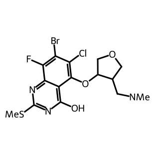 CNCC1COCC1Oc1c(Cl)c(Br)c(F)c2nc(SC)nc(O)c12